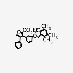 CCOC(=O)c1occ(-c2ccccc2)c1-c1cccc(OCc2c(C)c(C)cc(C)c2C)c1